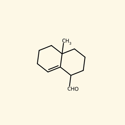 CC12CCCC=C1C(C=O)CCC2